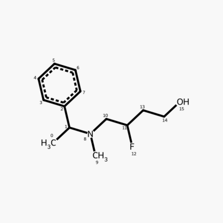 CC(c1ccccc1)N(C)CC(F)CCO